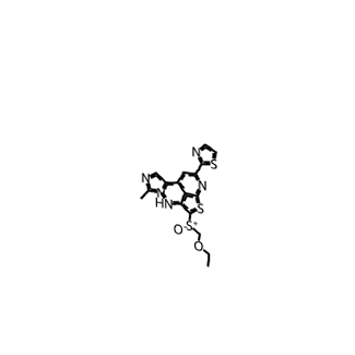 CCOC[S+]([O-])c1sc2nc(-c3nccs3)cc3c2c1[nH]n1c(C)ncc31